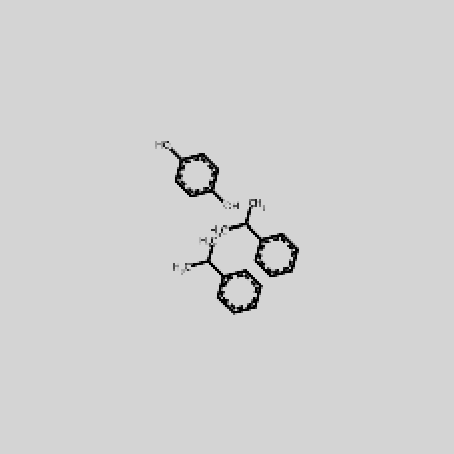 CC(C)c1ccccc1.CC(C)c1ccccc1.Oc1ccc(O)cc1